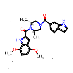 COc1ccc(OC)c2[nH]c(C(=O)N3[C@H](C)CN(C(=O)c4ccc5cc[nH]c5c4)C[C@H]3C)cc12